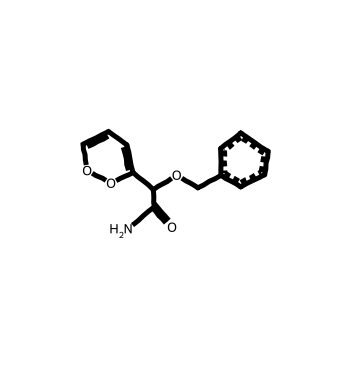 NC(=O)C(OCc1ccccc1)C1=CC=COO1